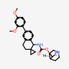 COc1ccc(-c2ccc3c(c2)CCC2(CC2)C3NC(=O)O[C@H]2CN3CCC2CC3)c(OC)c1